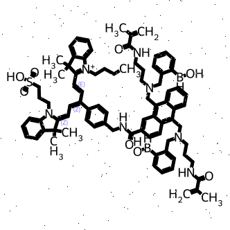 C=C(C)C(=O)NCCCN(Cc1ccccc1BO)Cc1c2ccccc2c(CN(CCCNC(=O)C(=C)C)Cc2ccccc2BO)c2cc(C(=O)NCc3ccc(C(=C\C=C4/N(CCCS(=O)(=O)O)c5ccccc5C4(C)C)/C=C/C4=[N+](CCCC)c5ccccc5C4(C)C)cc3)ccc12